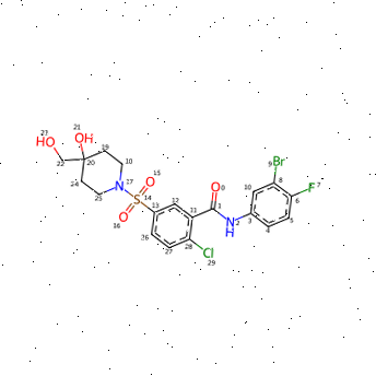 O=C(Nc1ccc(F)c(Br)c1)c1cc(S(=O)(=O)N2CCC(O)(CO)CC2)ccc1Cl